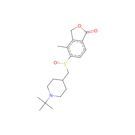 Cc1c([S+]([O-])CC2CCN(C(C)(C)C)CC2)ccc2c1COC2=O